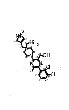 Cc1nc(N2CCC(CN)(Cc3cnn(C)c3)CC2)c(CO)nc1-c1cccc(Cl)c1Cl